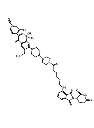 CCc1cc2c(cc1N1CCC(N3CCN(C(=O)CCCCCNc4cccc5c4C(=O)N(C4CCC(=O)NC4=O)C5=O)CC3)CC1)C(C)(C)c1[nH]c3cc(C#N)ccc3c1C2=O